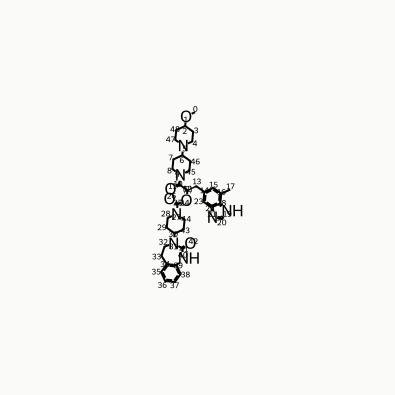 COC1CCN(C2CCN(C(=O)[C@@H](Cc3cc(C)c4[nH]cnc4c3)OC(=O)N3CCC(N4CCc5ccccc5NC4=O)CC3)CC2)CC1